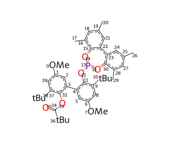 COc1cc(-c2cc(OC)cc(C(C)(C)C)c2Op2oc3c(C)cc(C)cc3c3cc(C)cc(C)c3o2)c(OC(=O)C(C)(C)C)c(C(C)(C)C)c1